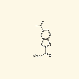 C=C(C)c1ccc2nc(C(=O)CCCCC)sc2c1